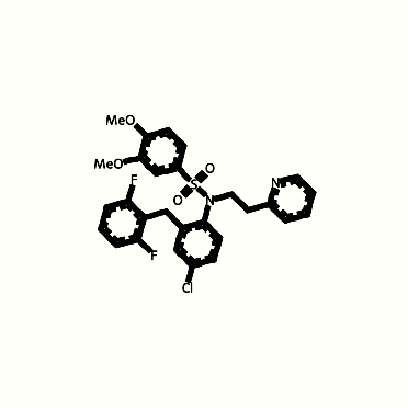 COc1ccc(S(=O)(=O)N(CCc2ccccn2)c2ccc(Cl)cc2Cc2c(F)cccc2F)cc1OC